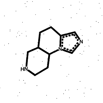 c1ncn2c1CCC1CNCCC12